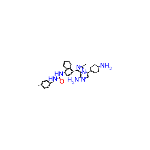 Cc1ccc(CNC(=O)Nc2ccc(-c3nc(C)n4c(C5=CCC(N)CC5)cnc(N)c34)c3ccccc23)cc1